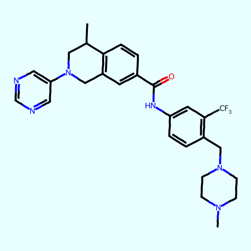 CC1CN(c2cncnc2)Cc2cc(C(=O)Nc3ccc(CN4CCN(C)CC4)c(C(F)(F)F)c3)ccc21